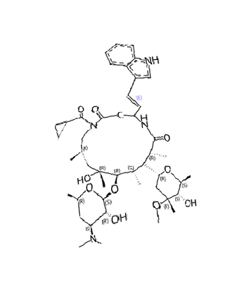 CO[C@]1(C)C[C@H](C2[C@@H](C)C(=O)NC(/C=C/c3c[nH]c4ccccc34)CC(=O)N(C(=O)C3CC3)C[C@H](C)C[C@@](C)(O)[C@H](O[C@@H]3O[C@H](C)C[C@H](N(C)C)[C@H]3O)[C@H]2C)O[C@@H](C)[C@@H]1O